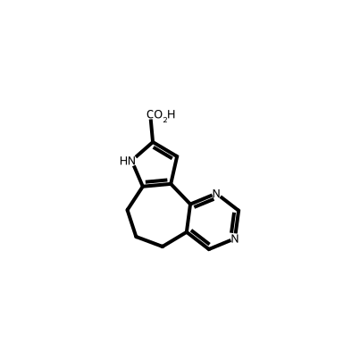 O=C(O)c1cc2c([nH]1)CCCc1cncnc1-2